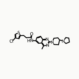 Cc1nc(N2CCC(N3CCCC3)CC2)nc2ccc(NC(=O)CCc3cc(Cl)cs3)cc12